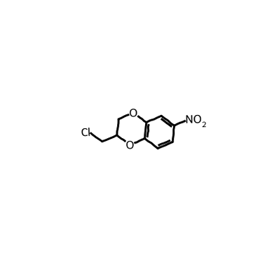 O=[N+]([O-])c1ccc2c(c1)OCC(CCl)O2